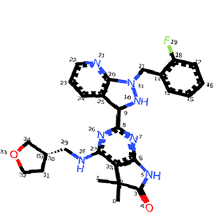 CC1(C)C(=O)Nc2nc(C3NN(Cc4ccccc4F)c4ncccc43)nc(NC[C@@H]3CCOC3)c21